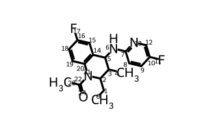 CCC1C(C)C(Nc2ccc(F)cn2)c2cc(F)ccc2N1C(C)=O